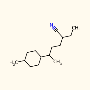 CCC(C#N)CCC(C)C1CCC(C)CC1